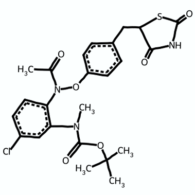 CC(=O)N(Oc1ccc(CC2SC(=O)NC2=O)cc1)c1ccc(Cl)cc1N(C)C(=O)OC(C)(C)C